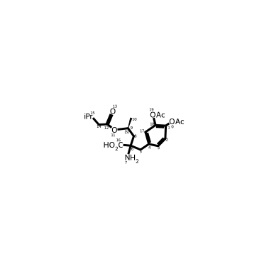 CC(=O)Oc1ccc(CC(N)(C[C@H](C)OC(=O)CC(C)C)C(=O)O)cc1OC(C)=O